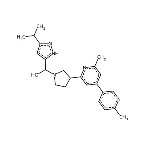 Cc1ccc(-c2cc(C)nc(C3CCN(C(O)c4cc(C(C)C)n[nH]4)C3)c2)cn1